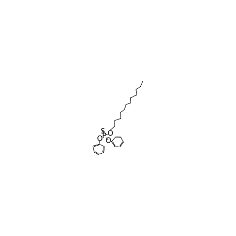 CCCCCCCCCCCCCOP(=S)(Oc1ccccc1)Oc1ccccc1